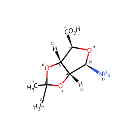 CC1(C)O[C@@H]2[C@H](O1)[C@@H](C(=O)O)O[C@H]2N